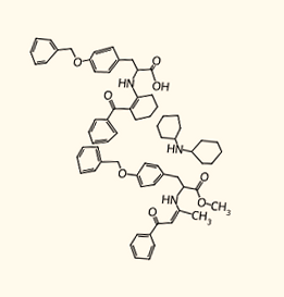 C1CCC(NC2CCCCC2)CC1.COC(=O)C(Cc1ccc(OCc2ccccc2)cc1)N/C(C)=C\C(=O)c1ccccc1.O=C(C1=C(NC(Cc2ccc(OCc3ccccc3)cc2)C(=O)O)CCCC1)c1ccccc1